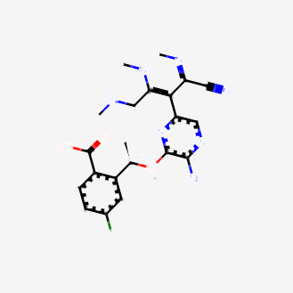 C/N=C(C#N)\C(=C(\CNC)NC)c1cnc(N)c(O[C@H](C)c2cc(F)ccc2C(=O)O)n1